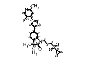 Cc1cc(-n2cnc(-c3ccc4c(c3)N(CCCS(=O)(=O)C3CC3)C(=O)C4(C)C)c2)c(F)cn1